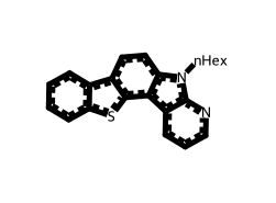 CCCCCCn1c2ccc3c4ccccc4sc3c2c2cccnc21